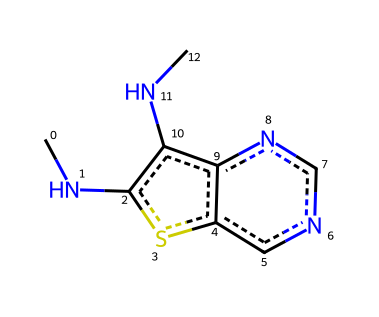 CNc1sc2cncnc2c1NC